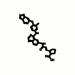 Cc1cc(Nc2ncnc3ccc(NC(=O)/C=C/[C@H]4CCCN4C(=O)O)cc23)ccc1Oc1cc2nncn2cn1